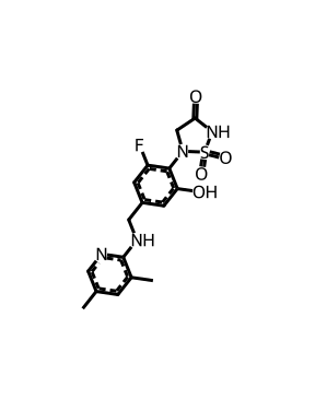 Cc1cnc(NCc2cc(O)c(N3CC(=O)NS3(=O)=O)c(F)c2)c(C)c1